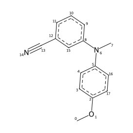 COc1ccc(N(C)c2cccc(C#N)c2)cc1